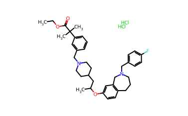 CCOC(=O)C(C)(C)c1cccc(CN2CCC(CC(C)Oc3ccc4c(c3)CN(Cc3ccc(F)cc3)CCC4)CC2)c1.Cl.Cl